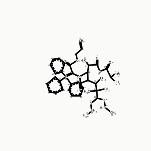 C=CCOC(=O)C(N1C(=O)C(C(C)C(C)(C)C(O[SiH2]C)O[SiH2]C)C1C(C)C(=O)OC(=O)C(C)(C)C)=P(c1ccccc1)(c1ccccc1)c1ccccc1